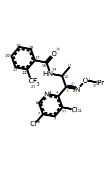 CC(C)O/N=C(/c1ncc(Cl)cc1Cl)C(C)NC(=O)c1ccccc1C(F)(F)F